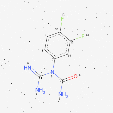 N=C(N)N(C(N)=O)c1ccc(F)c(F)c1